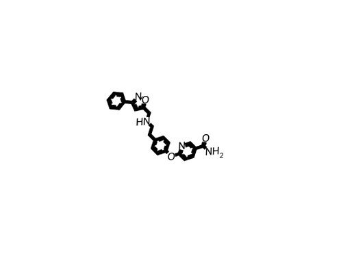 NC(=O)c1ccc(Oc2ccc(CCNCc3cc(-c4ccccc4)no3)cc2)nc1